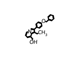 CCc1c(-c2ccc(OCc3ccccc3)cc2)cn2cccc(CO)c12